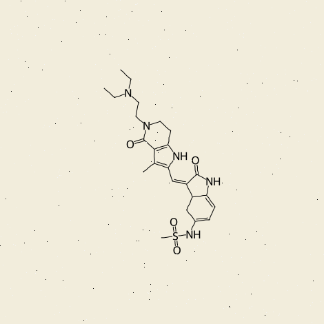 CCN(CC)CCN1CCc2[nH]c(C=C3C(=O)NC4=CC=C(NS(C)(=O)=O)CC43)c(C)c2C1=O